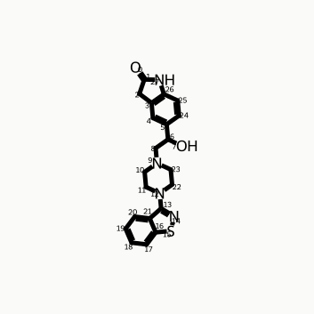 O=C1Cc2cc(C(O)CN3CCN(c4nsc5ccccc45)CC3)ccc2N1